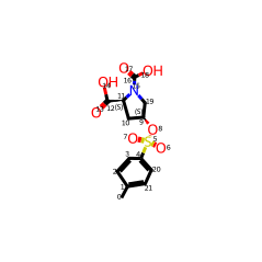 Cc1ccc(S(=O)(=O)O[C@H]2C[C@@H](C(=O)O)N(C(=O)O)C2)cc1